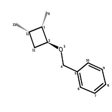 C[C@@H]1[C@@H](OCc2ccccc2)C[C@@H]1C